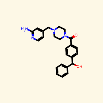 Nc1cc(CN2CCN(C(=O)c3ccc(C(O)c4ccccc4)cc3)CC2)ccn1